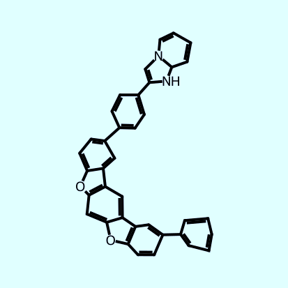 C1=CC2NC(c3ccc(-c4ccc5oc6cc7oc8ccc(-c9ccccc9)cc8c7cc6c5c4)cc3)=CN2C=C1